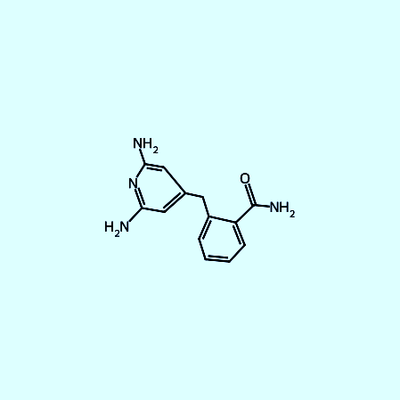 NC(=O)c1ccccc1Cc1cc(N)nc(N)c1